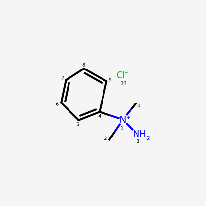 C[N+](C)(N)c1ccccc1.[Cl-]